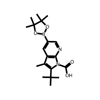 Cc1c(C(C)(C)C)n(C(=O)O)c2ncc(B3OC(C)(C)C(C)(C)O3)cc12